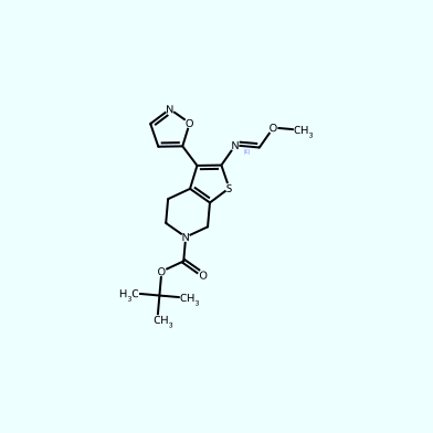 CO/C=N/c1sc2c(c1-c1ccno1)CCN(C(=O)OC(C)(C)C)C2